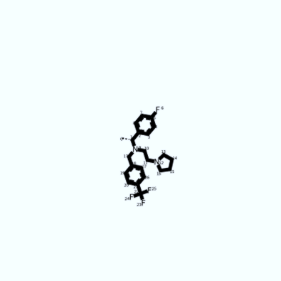 C[C@H](c1ccc(F)cc1)N(CCN1CCCC1)Cc1ccc(C(F)(F)F)cc1